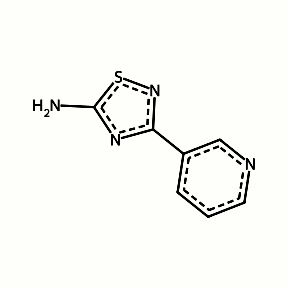 Nc1nc(-c2cccnc2)ns1